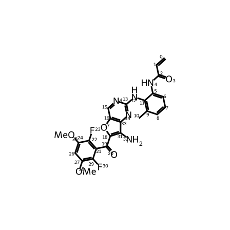 C=CC(=O)Nc1cccc(C)c1Nc1ncc2oc(C(=O)c3c(F)c(OC)cc(OC)c3F)c(N)c2n1